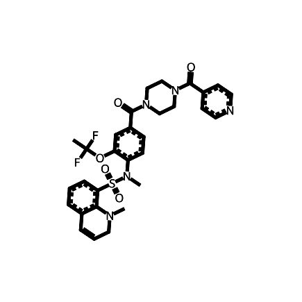 CN1CC=Cc2cccc(S(=O)(=O)N(C)c3ccc(C(=O)N4CCN(C(=O)c5ccncc5)CC4)cc3OC(C)(F)F)c21